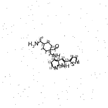 CC(N)C1CCC(C=O)(CNc2ccnc3[nH]c(-c4ccns4)cc23)CC1